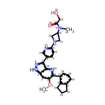 COc1cc2[nH]nc(-c3ccc(N4CC(N(C)C(=O)CO)C4)nc3)c2nc1-c1cccc2c1CCC2